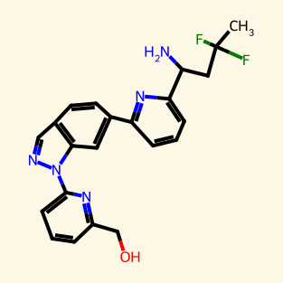 CC(F)(F)CC(N)c1cccc(-c2ccc3cnn(-c4cccc(CO)n4)c3c2)n1